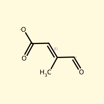 C/C([C]=O)=C\C([O])=O